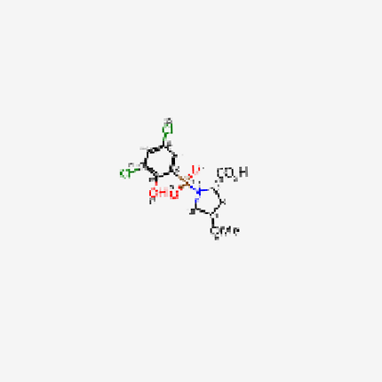 CO[C@@H]1C[C@@H](C(=O)O)N(S(=O)(=O)c2cc(Cl)cc(Cl)c2O)C1